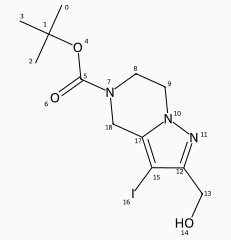 CC(C)(C)OC(=O)N1CCn2nc(CO)c(I)c2C1